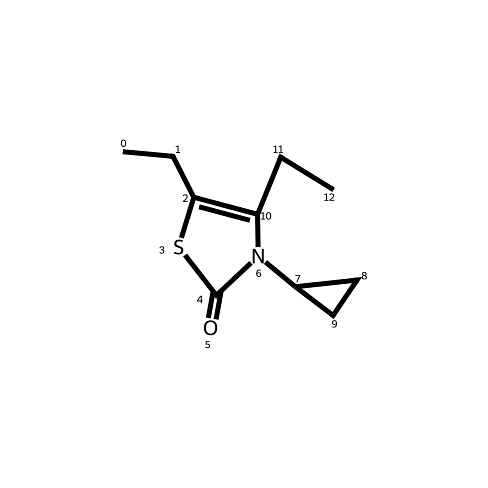 CCc1sc(=O)n(C2CC2)c1CC